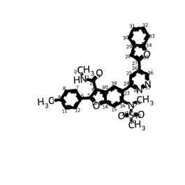 CNC(=O)c1c(-c2ccc(C)cc2)oc2cc(N(C)S(C)(=O)=O)c(-c3cc(-c4cc5ccccc5o4)cnn3)cc12